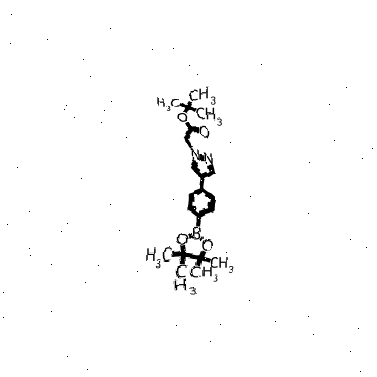 CC(C)(C)OC(=O)Cn1cc(-c2ccc(B3OC(C)(C)C(C)(C)O3)cc2)cn1